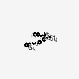 COc1ccccc1COCCCOc1ccc([C@H]2CCN(C(=O)OC(C)(C)C)C[C@@H]2OC(CCCN)c2ccc3c(c2)NCCC3)cc1